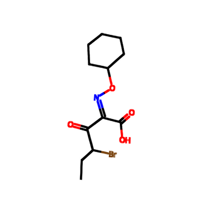 CCC(Br)C(=O)C(=NOC1CCCCC1)C(=O)O